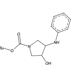 CC(C)(C)OC(=O)N1CC(O)C(Nc2ccccc2)C1